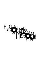 CCc1c(Nc2ccc(C(F)(F)F)cc2)ncnc1-c1ccc2cccnc2c1